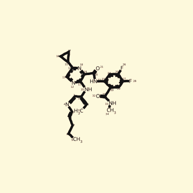 C\C=C(/C=N\C=C\CCC)Nc1ncc(C2CC2)nc1C(=O)Nc1cc(F)c(F)cc1C(=O)NC